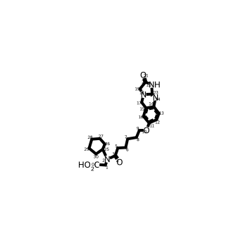 O=C(O)CN(C(=O)CCCCCOc1ccc2c(c1)CN1CC(=O)NC1=N2)C1CCCCC1